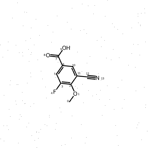 COc1c(F)cc(C(=O)O)cc1C#N